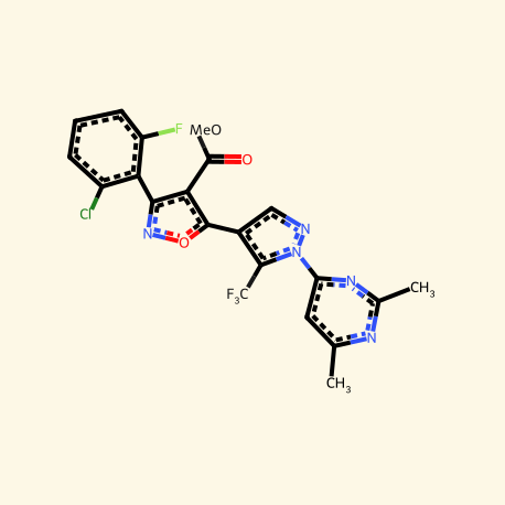 COC(=O)c1c(-c2c(F)cccc2Cl)noc1-c1cnn(-c2cc(C)nc(C)n2)c1C(F)(F)F